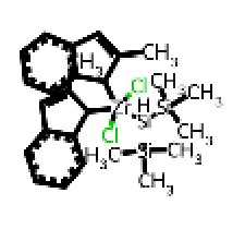 CC1=Cc2ccccc2[CH]1[Zr]([Cl])([Cl])([CH]1C(C)=Cc2ccccc21)[SiH]([Si](C)(C)C)[Si](C)(C)C